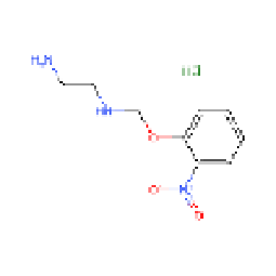 Cl.NCCNCOc1ccccc1[N+](=O)[O-]